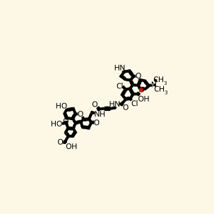 CN(C)c1ccc2c(-c3c(Cl)cc(C(=O)NCC#CC(=O)NCc4c5oc6cc(O)ccc6c(-c6ccc(C(=O)O)cc6C(=O)O)c-5ccc4=O)c(Cl)c3C(=O)O)c3ccc(=N)cc-3oc2c1